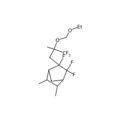 CCOCOC(C)(CC1(F)C2CC(C(C)C2C)C1(F)F)C(F)(F)F